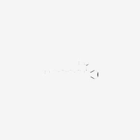 CCCCCCCCOC(C(=O)O)c1ccccc1